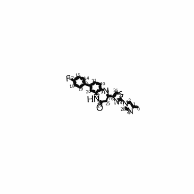 Cc1cn(-c2nc(C3=Nc4ccc(-c5ccc(F)cc5)cc4NC(=O)C3)cs2)cn1